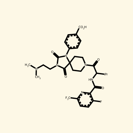 CC(C)C(NC(=O)c1nc(C(F)(F)F)ccc1F)C(=O)N1CCC2(CC1)C(=O)N(CCN(C)C)C(=O)N2c1ccc(C(=O)O)cc1